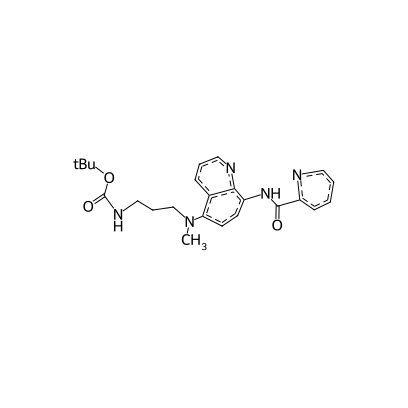 CN(CCCNC(=O)OC(C)(C)C)c1ccc(NC(=O)c2ccccn2)c2ncccc12